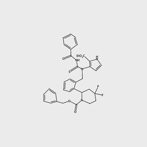 CCOC(=O)c1[nH]ccc1N(Cc1ccccc1C1CC(F)(F)CCN1C(=O)OCc1ccccc1)C(=S)NC(=O)c1ccccc1